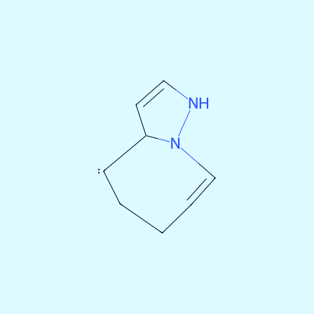 [C]1CCC=CN2NC=CC12